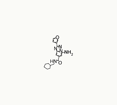 Nc1cc(C(=O)NCC2CCCCC2)cc2nc(-c3ccoc3)nn12